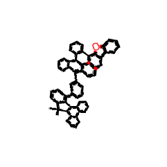 CC1(C)c2cccc(-c3cccc(-c4c5ccccc5c(-c5ccccc5-c5cccc6c5oc5ccccc56)c5ccccc45)c3)c2-c2c1c1ccccc1c1ccccc21